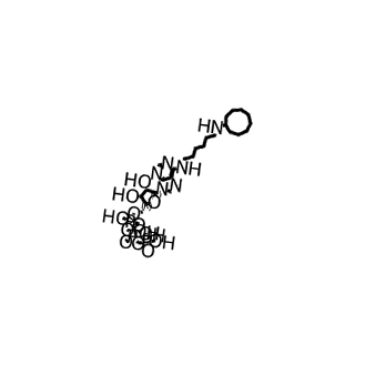 O=P(O)(O)OP(=O)(O)OP(=O)(O)OC[C@H]1O[C@@H](n2cnc3c(NCCCCCCNC4CCCCCCCC4)ncnc32)C(O)C1O